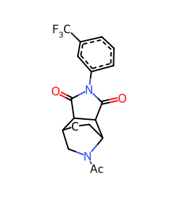 CC(=O)N1CC2CCC1C1C(=O)N(c3cccc(C(F)(F)F)c3)C(=O)C21